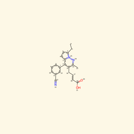 CCc1ccc2c(-c3cccc(C#N)c3)c(C/C=C/C(=O)O)c(C)nn12